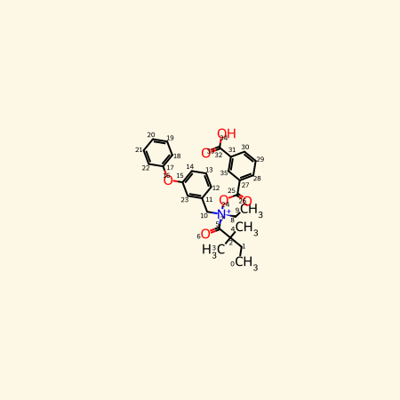 CCC(C)(C)C(=O)[N@+](CC)(Cc1cccc(Oc2ccccc2)c1)OC(=O)c1cccc(C(=O)O)c1